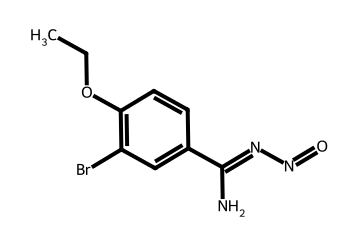 CCOc1ccc(/C(N)=N/N=O)cc1Br